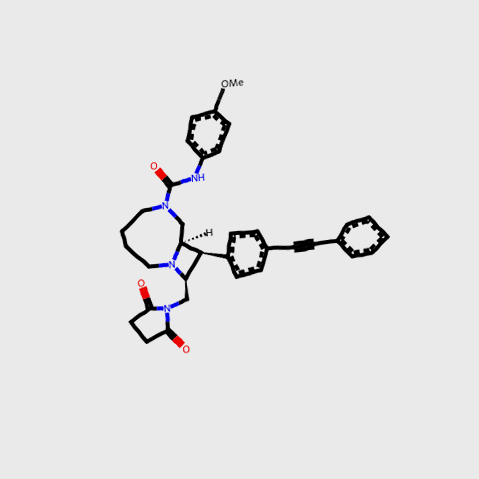 COc1ccc(NC(=O)N2CCCCN3[C@H](CN4C(=O)CCC4=O)[C@H](c4ccc(C#Cc5ccccc5)cc4)[C@@H]3C2)cc1